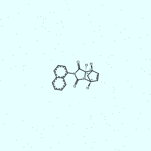 O=C1[C@H]2[C@@H]3C=C[C@@H](C3)N2C(=O)N1c1cccc2ccccc12